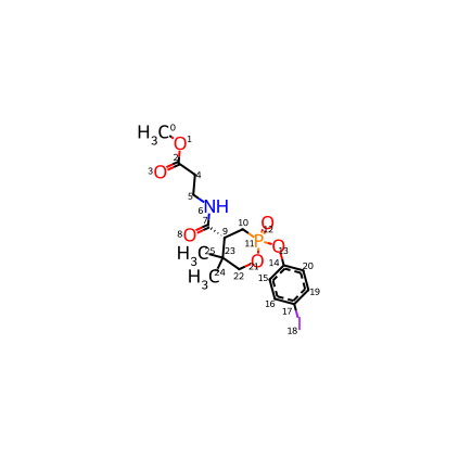 COC(=O)CCNC(=O)[C@@H]1CP(=O)(Oc2ccc(I)cc2)OCC1(C)C